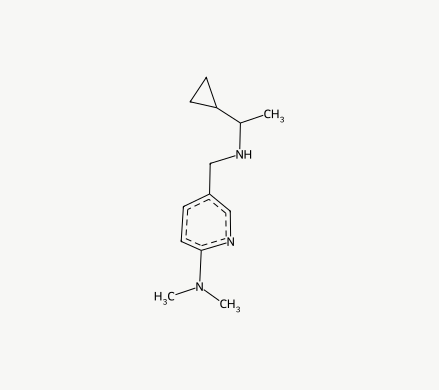 CC(NCc1ccc(N(C)C)nc1)C1CC1